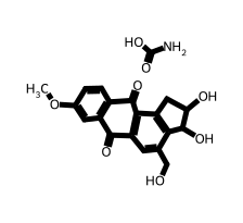 COc1ccc2c(c1)C(=O)c1cc(CO)c3c(c1C2=O)CC(O)C3O.NC(=O)O